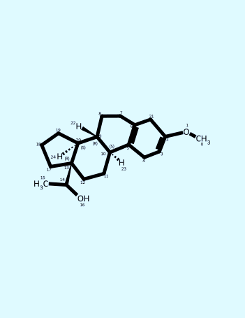 COC1=CCC2=C(CC[C@@H]3[C@@H]2CC[C@]2(C(C)O)CCC[C@@H]32)C1